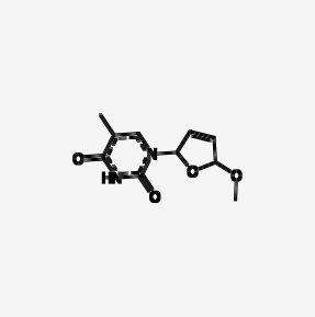 COC1C=CC(n2cc(C)c(=O)[nH]c2=O)O1